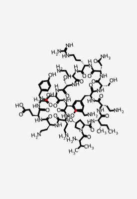 CC[C@H](C)[C@H](NC(=O)[C@@H]1C[C@@H](O)CN1C(=O)[C@@H](N)C(C)C)C(=O)N[C@@H](CCN)C(=O)N[C@@H](Cc1ccc(O)cc1)C(=O)N[C@@H](CO)C(=O)N[C@@H](CC(N)=O)C(=O)N[C@@H](CCCNC(=N)N)C(=O)N[C@@H](CCN)C(=O)N[C@@H](CO)C(=O)N[C@H](CCN)C(=O)N[C@@H](CCCCN)C(=O)N[C@@H](CCN)C(=O)N[C@@H](CCN)C(=O)N[C@@H](CCC(=O)O)C(=O)N[C@@H](Cc1ccc(O)cc1)C(=O)O